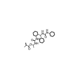 C=C(C)C(=O)OC(C)NC(=O)Nc1ccccc1C(NC(=O)Nc1ccccc1)c1ccccc1